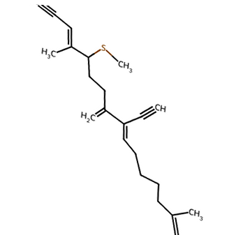 C#C/C=C(\C)CCCCC=C(C#C)C(=C)CCC(SC)/C(C)=C/C#C